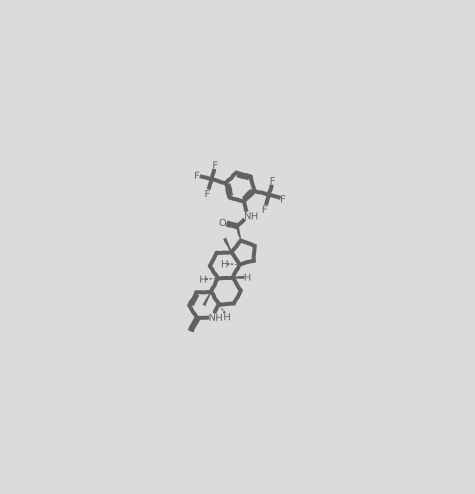 C=C1C=C[C@@]2(C)[C@@H](CC[C@@H]3[C@@H]2CC[C@]2(C)[C@@H](C(=O)Nc4cc(C(F)(F)F)ccc4C(F)(F)F)CC[C@@H]32)N1